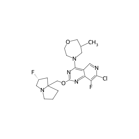 CC1COCCN(c2nc(OCC34CCCN3C[C@H](F)C4)nc3c(F)c(Cl)ncc23)C1